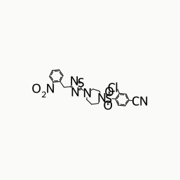 N#Cc1ccc(S(=O)(=O)N2CCCN(c3nc(Cc4ccccc4[N+](=O)[O-])ns3)CC2)c(Cl)c1